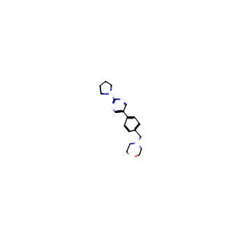 c1cc(-c2cnc(N3CCCC3)nc2)ccc1CN1CCOCC1